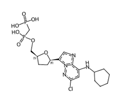 O=P(O)(O)CP(=O)(O)OC[C@@H]1CC[C@H](c2cnc3c(NC4CCCCC4)cc(Cl)nn23)O1